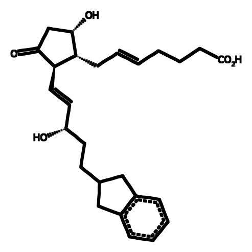 O=C(O)CCCC=CC[C@H]1[C@@H](O)CC(=O)[C@@H]1C=C[C@@H](O)CCC1Cc2ccccc2C1